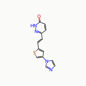 O=c1ccc(C=Cc2cc(-n3ccnc3)cs2)n[nH]1